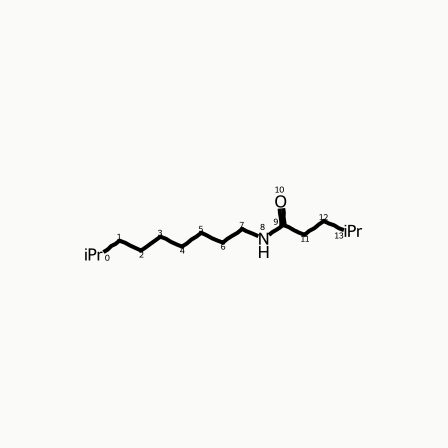 CC(C)CCCCCCCNC(=O)CCC(C)C